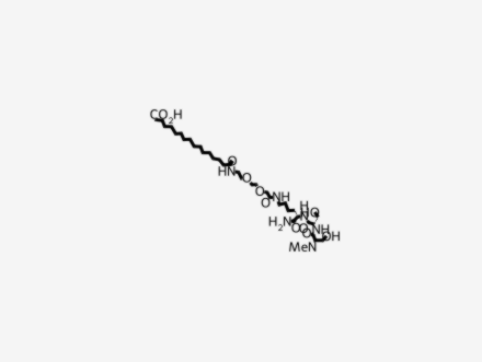 CN[C@@H](CO)C(=O)N[C@@H](CO)C(=O)N[C@@H](CCCCNC(=O)COCCOCCNC(=O)CCCCCCCCCCCCCCCC(=O)O)C(N)=O